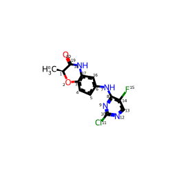 C[C@@H]1Oc2ccc(Nc3nc(Cl)ncc3F)cc2NC1=O